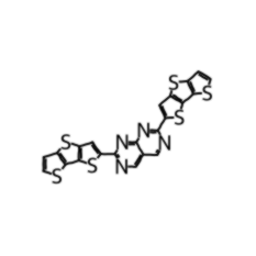 c1cc2sc3cc(-c4ncc5cnc(-c6cc7sc8ccsc8c7s6)nc5n4)sc3c2s1